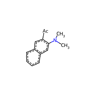 CC(=O)c1cc2ccccc2cc1N(C)C